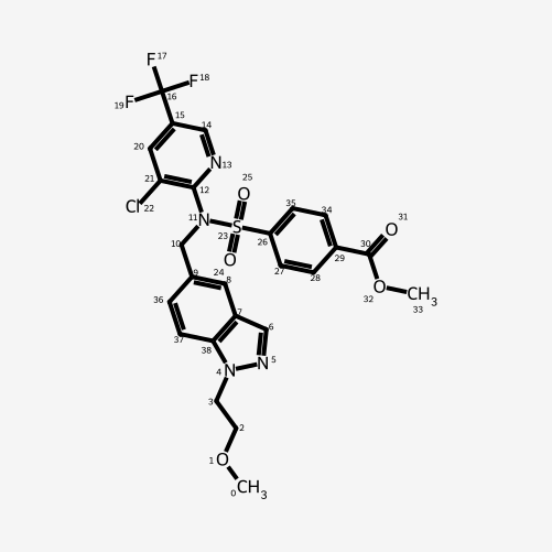 COCCn1ncc2cc(CN(c3ncc(C(F)(F)F)cc3Cl)S(=O)(=O)c3ccc(C(=O)OC)cc3)ccc21